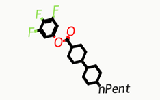 CCCCCC1CCC(C2CCC(C(=O)Oc3cc(F)c(F)c(F)c3)CC2)CC1